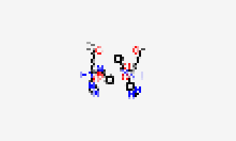 CCC(=O)CCCCC[C@H](NC(=O)CN1CCN(C)CC1)c1ncc(-c2ccccc2)o1.CCC(=O)CCCCC[C@H](NC(=O)c1ccc2nccnc2c1)c1ncc(-c2ccccc2)o1